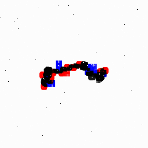 CN(c1cccc(CNc2nc(Nc3ccc(OCCOCCOCCC(O)NCCOc4cccc5c4C(=O)N(C4CCC(=O)NC4=O)C5=O)cc3)ncc2C(F)(F)F)c1)S(C)(=O)=O